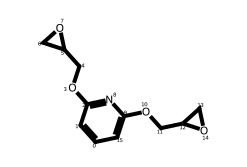 c1cc(OCC2CO2)nc(OCC2CO2)c1